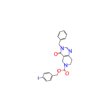 O=C(OCc1ccc(I)cc1)N1CCc2ncn(Cc3ccccc3)c(=O)c2C1